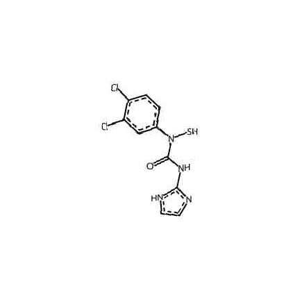 O=C(Nc1ncc[nH]1)N(S)c1ccc(Cl)c(Cl)c1